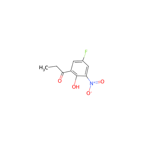 CCC(=O)c1cc(F)cc([N+](=O)[O-])c1O